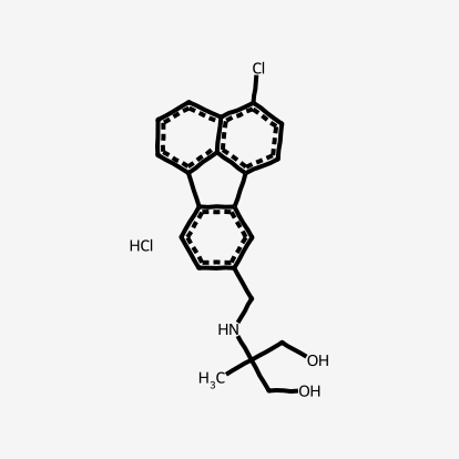 CC(CO)(CO)NCc1ccc2c(c1)-c1ccc(Cl)c3cccc-2c13.Cl